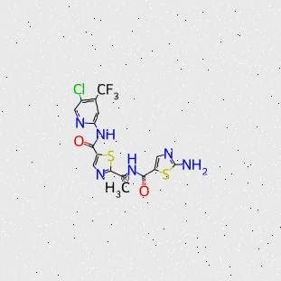 C[C@@H](NC(=O)c1cnc(N)s1)c1ncc(C(=O)Nc2cc(C(F)(F)F)c(Cl)cn2)s1